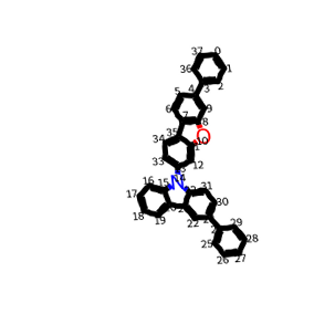 c1ccc(-c2ccc3c(c2)oc2cc(-n4c5ccccc5c5cc(-c6ccccc6)ccc54)ccc23)cc1